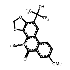 CCCCn1c(=O)c2cc(OC)ccc2c2cc(C(O)(C(F)(F)F)C(F)(F)F)c3c(c21)OCO3